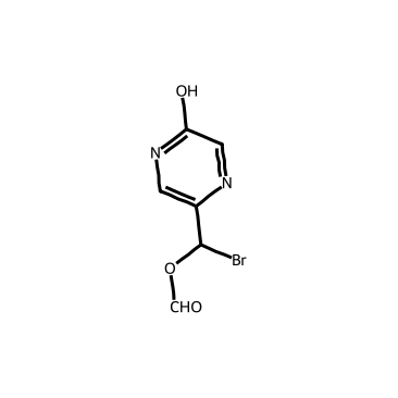 O=COC(Br)c1cnc(O)cn1